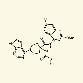 COC(=O)C[C@@H](NC(=O)C1(NC(=O)OC(C)(C)C)CCN(c2ncnc3[nH]ccc23)CC1)c1ccc(Cl)cc1